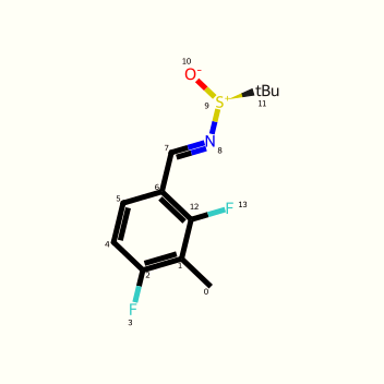 Cc1c(F)ccc(/C=N/[S@@+]([O-])C(C)(C)C)c1F